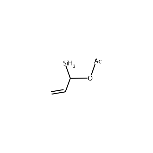 C=CC([SiH3])OC(C)=O